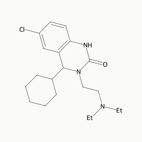 CCN(CC)CCN1C(=O)Nc2ccc(Cl)cc2C1C1CCCCC1